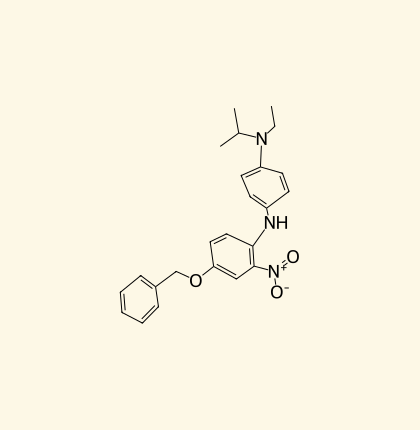 CCN(c1ccc(Nc2ccc(OCc3ccccc3)cc2[N+](=O)[O-])cc1)C(C)C